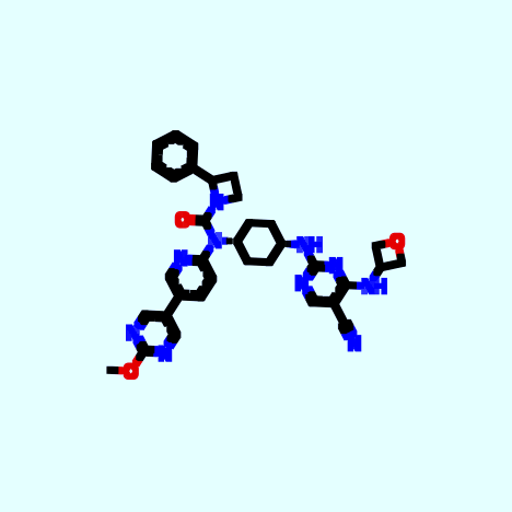 COc1ncc(-c2ccc(N(C(=O)N3CCC3c3ccccc3)[C@H]3CC[C@H](Nc4ncc(C#N)c(NC5COC5)n4)CC3)nc2)cn1